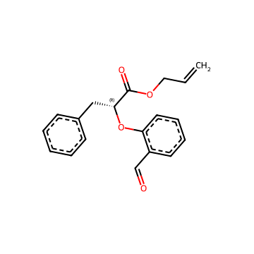 C=CCOC(=O)[C@@H](Cc1ccccc1)Oc1ccccc1C=O